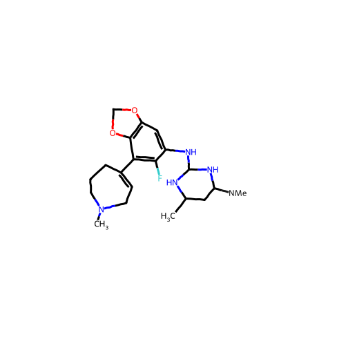 CNC1CC(C)NC(Nc2cc3c(c(C4=CCN(C)CCC4)c2F)OCO3)N1